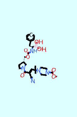 COC(=O)N1CCN(C(C)(C)/C=C(\C#N)C(=O)N2CC[C@H](COC(=O)N[C@@H](Cc3ccccc3)B(O)O)C2)CC1